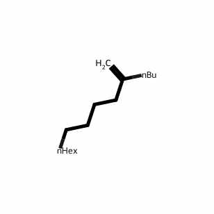 C=C(CCCC)CCCCCCCCCC